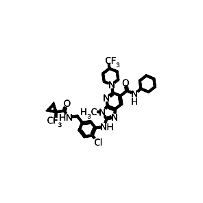 Cn1c(Nc2cc(CNC(=O)C3(C(F)(F)F)CC3)ccc2Cl)nc2cc(C(=O)NC3CCCCC3)c(N3CCC(C(F)(F)F)CC3)nc21